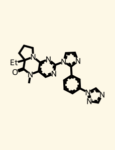 CCC12CCCN1c1nc(-n3ccnc3-c3cccc(-n4cncn4)c3)ncc1N(C)C2=O